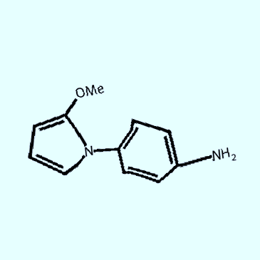 COc1cccn1-c1ccc(N)cc1